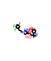 COc1ccc2ncc(C)c([C@H](O)CCC3(C(=O)NO)CCN(CCCc4cc(F)cc(F)c4F)CC3)c2c1